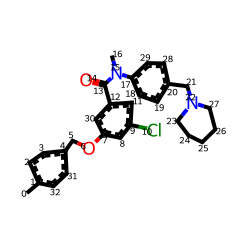 Cc1ccc(COc2cc(Cl)cc(C(=O)N(C)c3ccc(CN4CCCCC4)cc3)c2)cc1